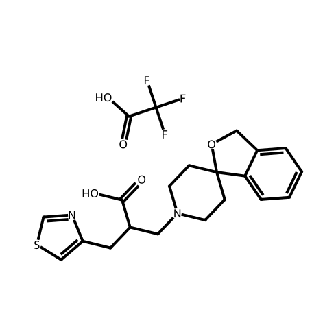 O=C(O)C(Cc1cscn1)CN1CCC2(CC1)OCc1ccccc12.O=C(O)C(F)(F)F